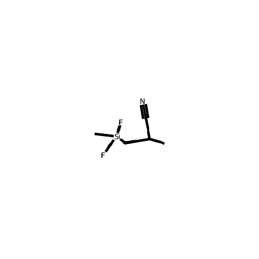 CC(C#N)C[Si](C)(F)F